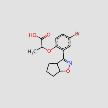 CC(Oc1ccc(Br)cc1C1=NOC2CCCC12)C(=O)O